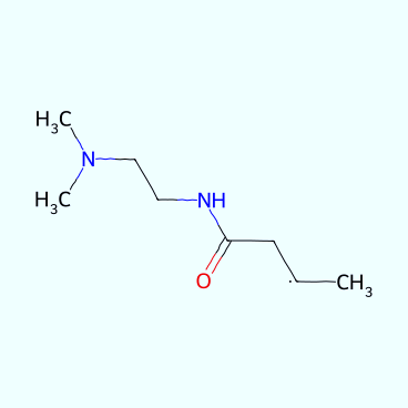 C[CH]CC(=O)NCCN(C)C